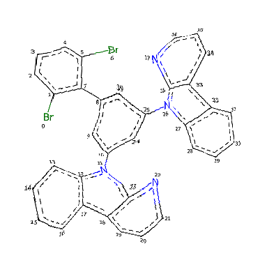 Brc1cccc(Br)c1-c1cc(-n2c3ccccc3c3cccnc32)cc(-n2c3ccccc3c3cccnc32)c1